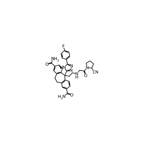 N#CC1CCCN1C(=O)CNCCC1(c2nnc(-c3ccc(F)cc3)[nH]2)c2ccc(C(N)=O)cc2CCc2cc(C(N)=O)ccc21